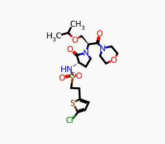 CC(C)OC[C@@H](C(=O)N1CCOCC1)N1CC[C@H](NS(=O)(=O)CCc2ccc(Cl)s2)C1=O